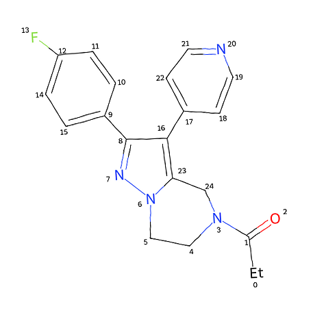 CCC(=O)N1CCn2nc(-c3ccc(F)cc3)c(-c3ccncc3)c2C1